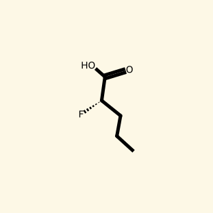 CCC[C@H](F)C(=O)O